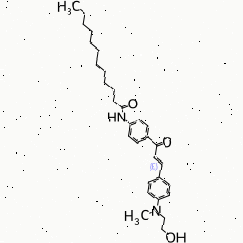 CCCCCCCCCCCC(=O)Nc1ccc(C(=O)/C=C/c2ccc(N(C)CCO)cc2)cc1